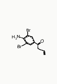 C=CCC(=O)c1cc(Br)c(N)c(Br)c1